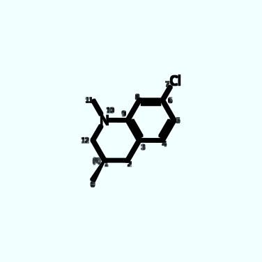 C[C@@H]1Cc2ccc(Cl)cc2N(C)C1